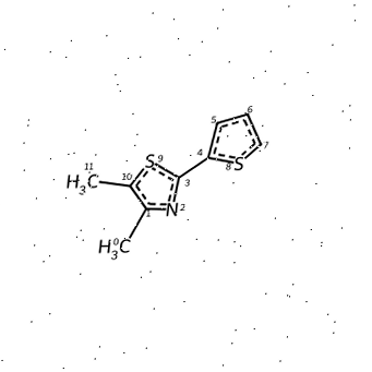 Cc1nc(-c2cccs2)sc1C